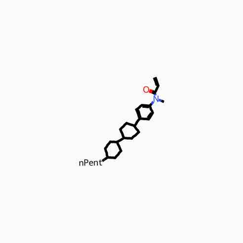 C=CC(=O)N(C)c1ccc(C2CCC(C3CCC(CCCCC)CC3)CC2)cc1